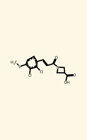 CSc1ccc(C=CC(=O)N2CC(C(=O)O)C2)c(Cl)c1Cl